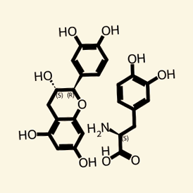 N[C@@H](Cc1ccc(O)c(O)c1)C(=O)O.Oc1cc(O)c2c(c1)O[C@H](c1ccc(O)c(O)c1)[C@@H](O)C2